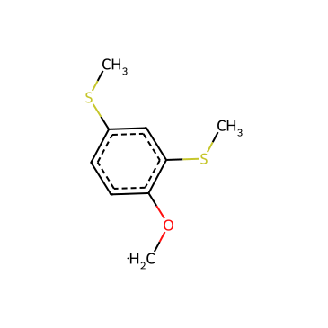 [CH2]Oc1ccc(SC)cc1SC